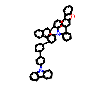 c1cc(-c2ccc(N(c3ccccc3-c3ccc4ccccc4c3)c3ccccc3-c3ccc4c(c3)oc3ccccc34)cc2)cc(-c2ccc(-n3c4ccccc4c4ccccc43)cc2)c1